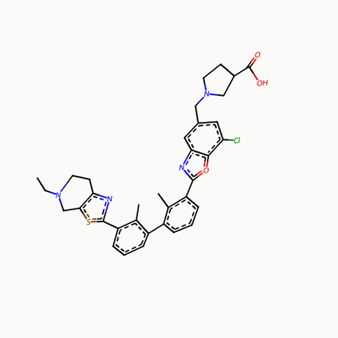 CCN1CCc2nc(-c3cccc(-c4cccc(-c5nc6cc(CN7CCC(C(=O)O)C7)cc(Cl)c6o5)c4C)c3C)sc2C1